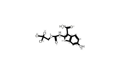 NC(=O)c1c(NC(=O)OCC(Cl)(Cl)Cl)sc2cc(O)ccc12